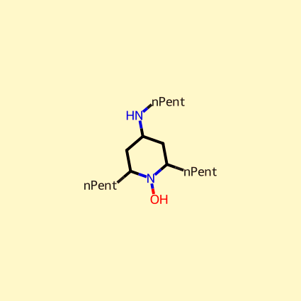 CCCCCNC1CC(CCCCC)N(O)C(CCCCC)C1